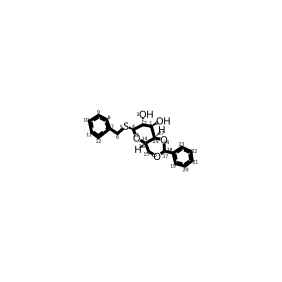 O[C@@H]1[C@@H](O)[C@H](SCc2ccccc2)O[C@@H]2COC(c3ccccc3)O[C@H]12